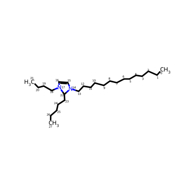 CCCCCCCCCCCCCCN1C=CN(CCCC)C1CCCCC